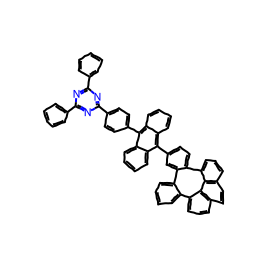 c1ccc(-c2nc(-c3ccccc3)nc(-c3ccc(-c4c5ccccc5c(-c5ccc6c(c5)c5ccccc5c5cccc7ccc8cccc6c8c75)c5ccccc45)cc3)n2)cc1